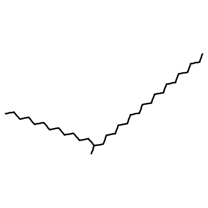 CCCCCCCCCCCCCCCCCCC(C)CCCCCCCCCCCC